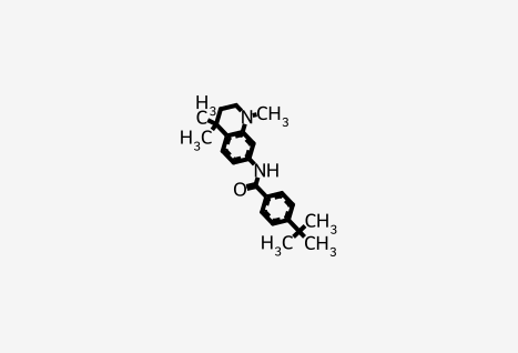 CN1CCC(C)(C)c2ccc(NC(=O)c3ccc(C(C)(C)C)cc3)cc21